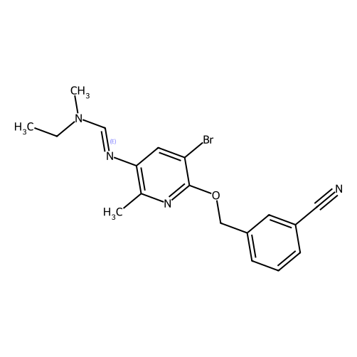 CCN(C)/C=N/c1cc(Br)c(OCc2cccc(C#N)c2)nc1C